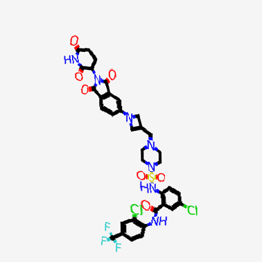 O=C1CCC(N2C(=O)c3ccc(N4CC(CN5CCN(S(=O)(=O)Nc6ccc(Cl)cc6C(=O)Nc6ccc(C(F)(F)F)cc6Cl)CC5)C4)cc3C2=O)C(=O)N1